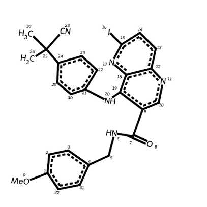 COc1ccc(CNC(=O)c2cnc3ccc(I)nc3c2Nc2ccc(C(C)(C)C#N)cc2)cc1